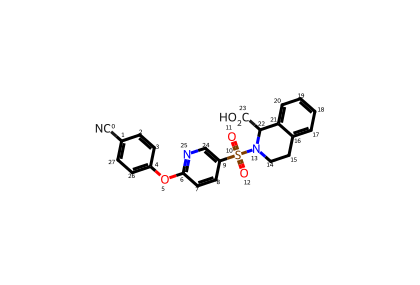 N#Cc1ccc(Oc2ccc(S(=O)(=O)N3CCc4ccccc4C3C(=O)O)cn2)cc1